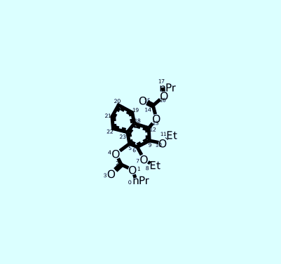 CCCOC(=O)Oc1c(OCC)c(OCC)c(OC(=O)OCCC)c2ccccc12